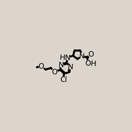 COCCOc1nc(NC2CCN(C(=O)O)C2)ncc1Cl